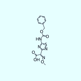 CON=C(C(=O)O)c1nsc(NC(=O)OCc2ccccc2)n1